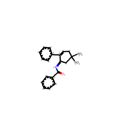 O=C(N=C1CC([N+](=O)[O-])([N+](=O)[O-])CC=C1c1ccccc1)c1ccccc1